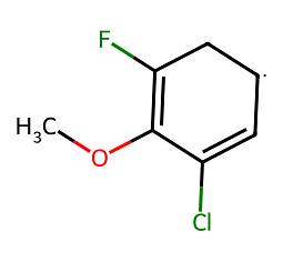 COC1=C(F)C[CH]C=C1Cl